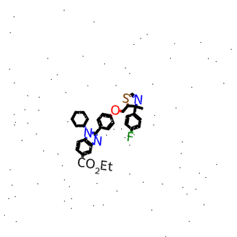 CCOC(=O)c1ccc2c(c1)nc(-c1ccc(OCC3SC=NC3(C)c3ccc(F)cc3)cc1)n2C1CCCCC1